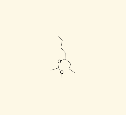 CCCCC(CCC)OC(C)OC